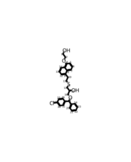 OCCOc1cccc2c(CCSCC(O)COC(c3ccccc3)c3ccc(Cl)cc3)cccc12